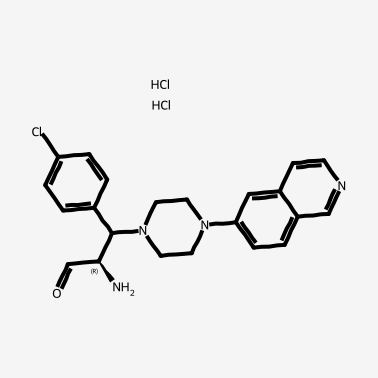 Cl.Cl.N[C@@H](C=O)C(c1ccc(Cl)cc1)N1CCN(c2ccc3cnccc3c2)CC1